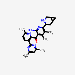 Cc1cc(C)nc(-c2ccc(C)nc2C(=O)c2c(N)nc(C3CC4CC4CN3)c(C(F)(F)F)c2C)n1